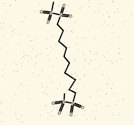 CS(=O)(=O)S(=O)(=O)CCCCCCCCCCS(=O)(=O)S(C)(=O)=O